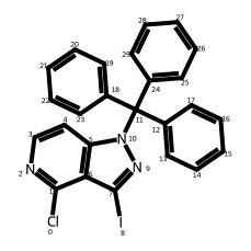 Clc1nccc2c1c(I)nn2C(c1ccccc1)(c1ccccc1)c1ccccc1